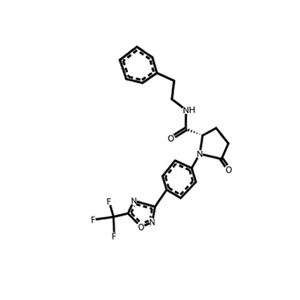 O=C(NCCc1ccccc1)[C@@H]1CCC(=O)N1c1ccc(-c2noc(C(F)(F)F)n2)cc1